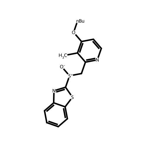 CCCCOc1ccnc(C[S+]([O-])c2nc3ccccc3s2)c1C